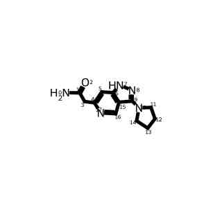 NC(=O)Cc1cc2[nH]nc(N3CCCC3)c2cn1